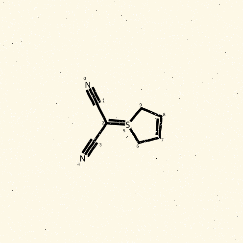 N#CC(C#N)=S1CC=CC1